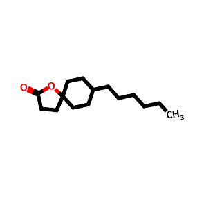 CCCCCCC1CCC2(CCC(=O)O2)CC1